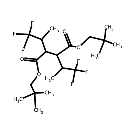 CC(C(C(=O)OCC(C)(C)C)C(C(=O)OCC(C)(C)C)C(C)C(F)(F)F)C(F)(F)F